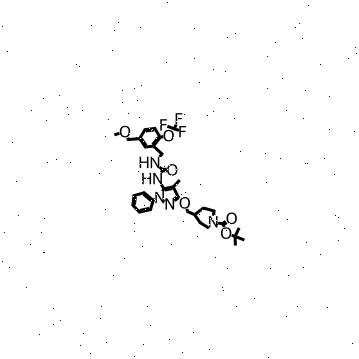 COCc1ccc(OC(F)(F)F)c(CNC(=O)Nc2c(C)c(OCC3CCN(C(=O)OC(C)(C)C)CC3)nn2-c2ccccc2)c1